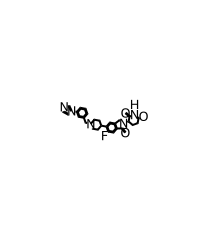 O=C1CCC(N2Cc3cc(C4CCN(Cc5cccc(-n6ccnc6)c5)CC4)c(F)cc3C2=O)C(=O)N1